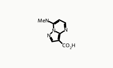 CNc1ccnc2c(C(=O)O)cnn12